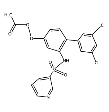 CC(=O)OOc1ccc(-c2cc(Cl)cc(Cl)c2)c(NS(=O)(=O)c2cccnc2)c1